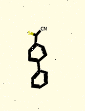 N#CC([S])c1ccc(-c2ccccc2)cc1